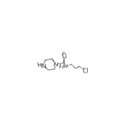 O=C(NCCCCl)N1CCNCC1